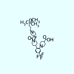 COC(C)(C)CCCN1CC[C@](F)(C(=O)N2CCC(c3ccc(C(F)(F)F)cc3N3CCC(C(=O)O)CC3)CC2)C1